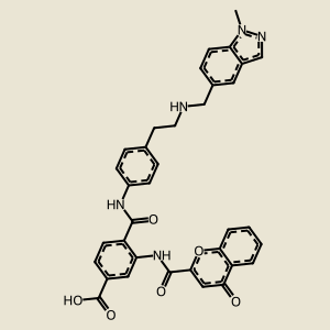 Cn1ncc2cc(CNCCc3ccc(NC(=O)c4ccc(C(=O)O)cc4NC(=O)c4cc(=O)c5ccccc5o4)cc3)ccc21